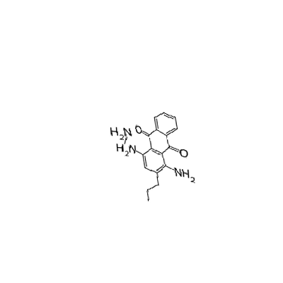 CCCc1cc(N)c2c(c1N)C(=O)c1ccccc1C2=O.CN